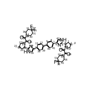 C[C@H]1C[C@@H](c2nc(-c3ccc(-c4ccc(-c5c[nH]c([C@@H]6C[C@H](C)CN6C(=O)C(=O)N6CCC(F)(F)CC6)n5)cc4)cc3)c[nH]2)N(C(=O)C(=O)N2CCC(C)(F)CC2)C1